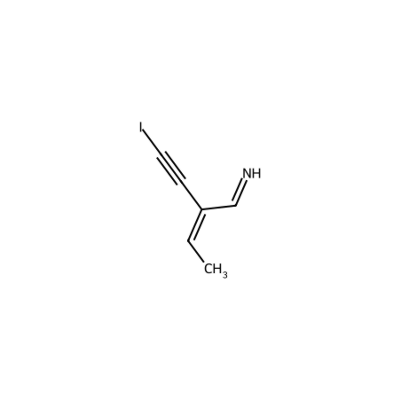 C/C=C(/C#CI)C=N